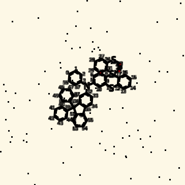 c1ccc(N(c2ccc3c(c2)Sc2ccccc2[Si]32c3ccccc3Sc3ccccc32)c2ccc3c(c2)C(c2ccccc2)(c2ccccc2)c2ccccc2-3)cc1